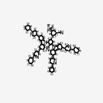 N#Cc1cc(-c2cc(-n3c4ccc(-c5ccc(-c6ccccc6)nc5)cc4c4cc(-c5ccc(-c6ccccc6)nc5)ccc43)c(C#N)c(-n3c4ccc(-c5ccc(-c6ccccc6)nc5)cc4c4cc(-c5ccc(-c6ccccc6)nc5)ccc43)c2)cc(C(F)(F)F)c1